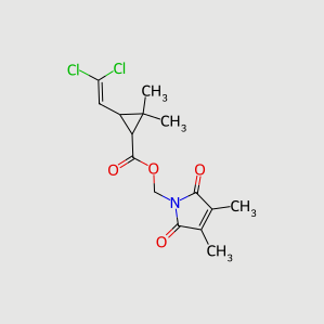 CC1=C(C)C(=O)N(COC(=O)C2C(C=C(Cl)Cl)C2(C)C)C1=O